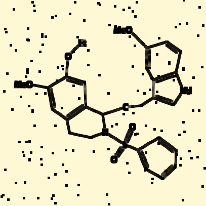 CCOc1cc2c(cc1OC)CCN(S(=O)(=O)c1ccccc1)C2CCc1c[nH]c2ccc(OC)cc12